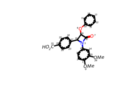 COc1ccc(N2C(=O)C(Oc3ccccc3)C2c2ccc(C(=O)O)cc2)cc1OC